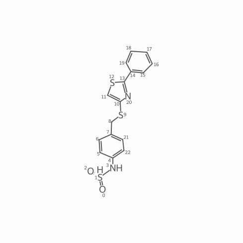 O=[SH](=O)Nc1ccc(CSc2csc(-c3ccccc3)n2)cc1